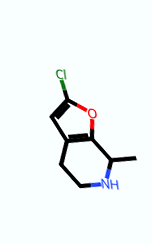 CC1NCCc2cc(Cl)oc21